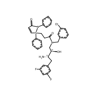 CCc1cccc(CN(C[C@@H](O)[C@@H](N)Cc2cc(F)cc(F)c2)C(=O)CCS2(c3ccccc3)C=CC(=O)N2c2ccccc2)c1